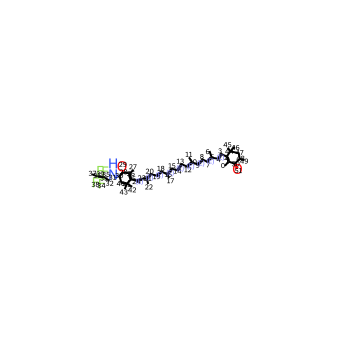 CC1=C(/C=C/C(C)=C/C=C/C(C)=C/C=C/C=C(C)/C=C/C=C(C)/C=C/C2=C(C)C(=O)C(NCC(F)(F)C(C)(F)F)CC2(C)C)C(C)(C)CC(C)C1=O